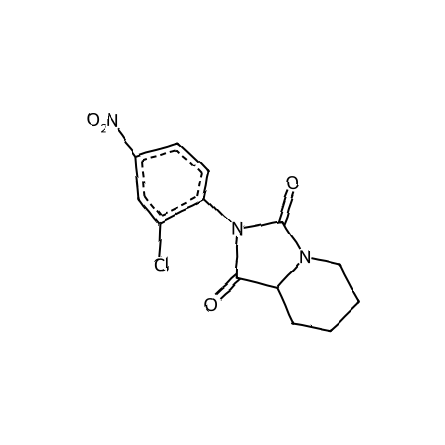 O=C1C2CCCCN2C(=O)N1c1ccc([N+](=O)[O-])cc1Cl